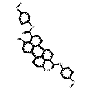 CCOc1ccc(NC(=O)c2ccc3c4ccc(C(=O)Nc5ccc(OCC)cc5)c5c(C=O)ccc(c6ccc(C=O)c2c63)c54)cc1